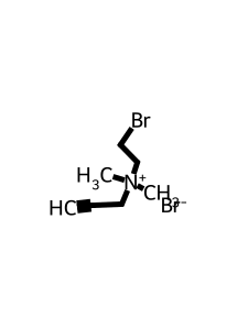 C#CC[N+](C)(C)CCBr.[Br-]